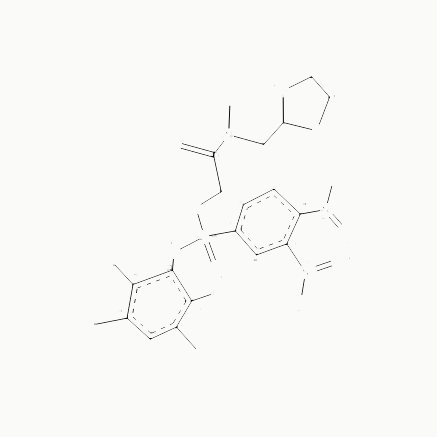 CN(CC1OCCS1)C(=O)CSP(=S)(Oc1c(Cl)c(Cl)cc(Cl)c1Cl)c1ccc([N+](=O)[O-])c([N+](=O)[O-])c1